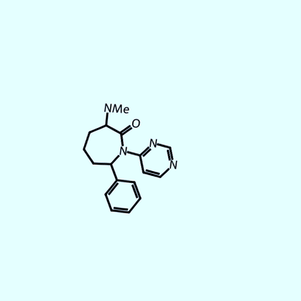 CNC1CCCC(c2ccccc2)N(c2ccncn2)C1=O